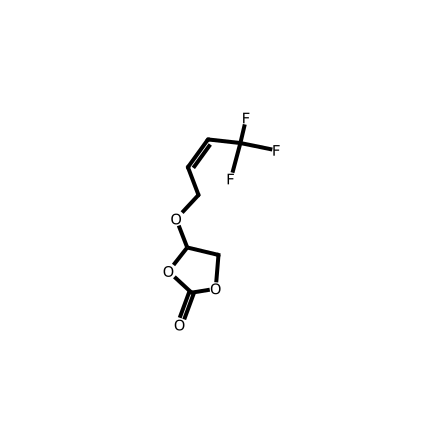 O=C1OCC(OC/C=C\C(F)(F)F)O1